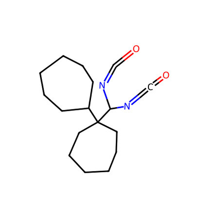 O=C=NC(N=C=O)C1(C2CCCCCC2)CCCCCC1